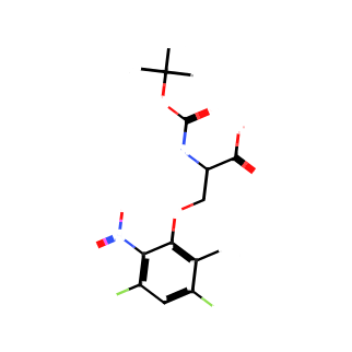 Cc1c(F)cc(F)c([N+](=O)[O-])c1OCC(NC(=O)OC(C)(C)C)C(=O)O